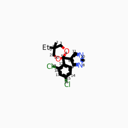 CCC1(C)COC(c2cncnc2)(c2ccc(Cl)cc2Cl)OC1